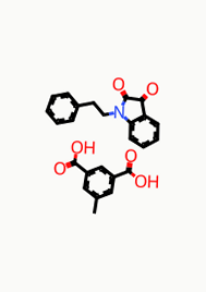 Cc1cc(C(=O)O)cc(C(=O)O)c1.O=C1C(=O)N(CCc2ccccc2)c2ccccc21